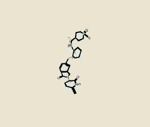 C=C1CC[C@H](N2Cc3cc(C[C@H]4CCCC[C@@H]4N[C@H](C)C4CCS(=O)(=O)CC4)ccc3C2=O)C(=O)N1